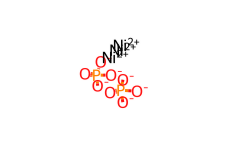 O=P([O-])([O-])[O-].O=P([O-])([O-])[O-].[Ni+2].[Ni+2].[Ni+2]